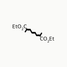 CCOC(=O)C(C)=CC=CC=C(C)C(=O)OCC